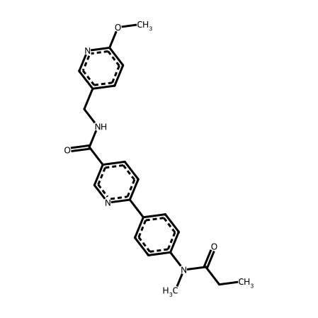 CCC(=O)N(C)c1ccc(-c2ccc(C(=O)NCc3ccc(OC)nc3)cn2)cc1